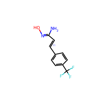 NC(/C=C/c1ccc(C(F)(F)F)cc1)=NO